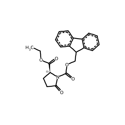 CCOC(=O)[C@@H]1CCC(=O)N1C(=O)OCC1c2ccccc2-c2ccccc21